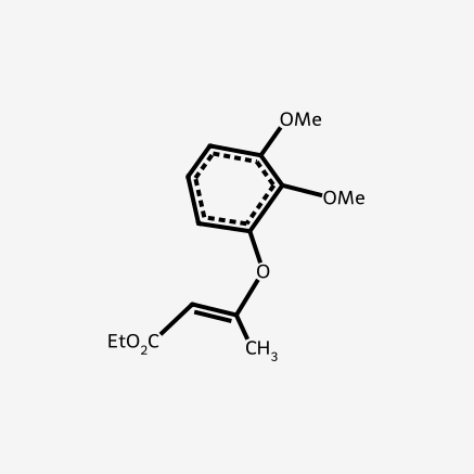 CCOC(=O)C=C(C)Oc1cccc(OC)c1OC